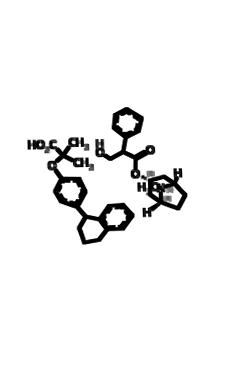 CC(C)(Oc1ccc(C2CCCc3ccccc32)cc1)C(=O)O.CN1[C@@H]2CC[C@H]1C[C@@H](OC(=O)C(CO)c1ccccc1)C2